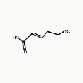 CCCCCCC=CC([NH])=O